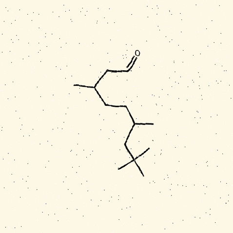 CC(C[C]=O)CCC(C)CC(C)(C)C